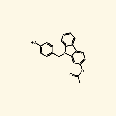 CC(=O)Oc1ccc2c3ccccc3n(Cc3ccc(O)cc3)c2c1